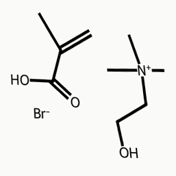 C=C(C)C(=O)O.C[N+](C)(C)CCO.[Br-]